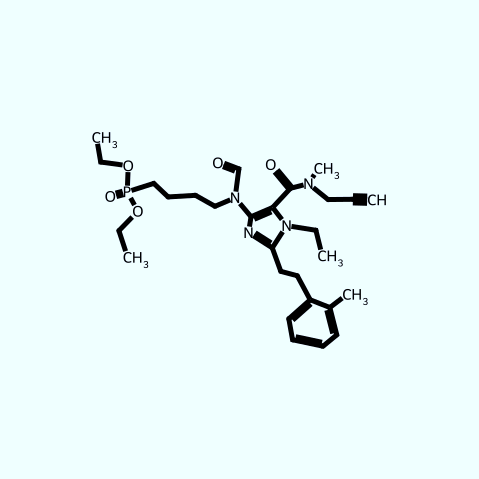 C#CCN(C)C(=O)c1c(N(C=O)CCCCP(=O)(OCC)OCC)nc(CCc2ccccc2C)n1CC